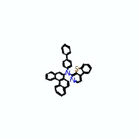 c1ccc(-c2ccc(N(c3cc4ccccc4c4c3ccc3ccccc34)c3nccc4c3sc3ccccc34)cc2)cc1